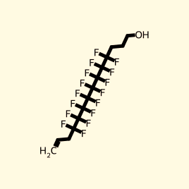 C=CCC(F)(F)C(F)(F)C(F)(F)C(F)(F)C(F)(F)C(F)(F)C(F)(F)C(F)(F)CCCO